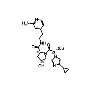 CC(C)(C)[C@@H](C(=O)N1C[C@H](O)C[C@H]1C(=O)NCCc1ccnc(N)c1)n1cc(C2CC2)nn1